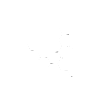 CCCCC(NC(=O)[C@@H](N)CC(C)C)C(O)CC(=O)OCC